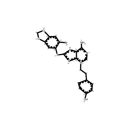 Nc1ncn(CCc2ccc(O)cc2)c2nc(Sc3cc4c(cc3Br)OCO4)nc1-2